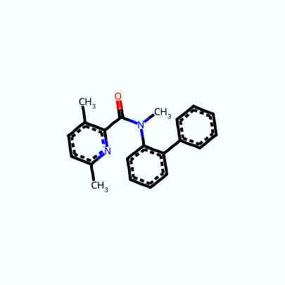 Cc1ccc(C)c(C(=O)N(C)c2ccccc2-c2ccccc2)n1